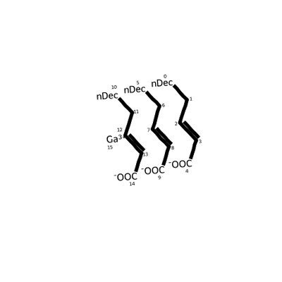 CCCCCCCCCCCC=CC(=O)[O-].CCCCCCCCCCCC=CC(=O)[O-].CCCCCCCCCCCC=CC(=O)[O-].[Ga+3]